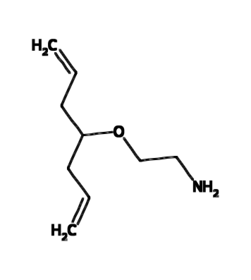 C=CCC(CC=C)OCCN